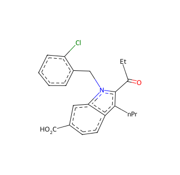 CCCc1c(C(=O)CC)n(Cc2ccccc2Cl)c2cc(C(=O)O)ccc12